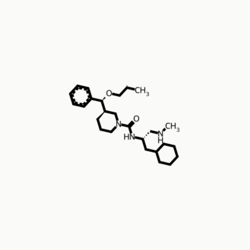 C[CH]CO[C@@H](c1ccccc1)[C@@H]1CCCN(C(=O)N[C@H](CNC)CC2CCCCC2)C1